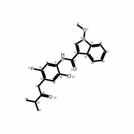 COn1cc(C(=O)Nc2cc(F)c(CC(=O)C(C)C)cc2Cl)c2ccccc21